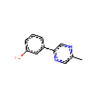 Cc1cnc(-c2cccc(O)c2)cn1